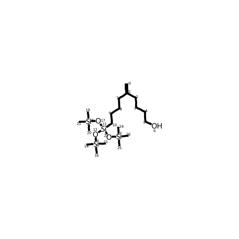 C=C(CCCCO)CCCC[Si](O[Si](C)(C)C)(O[Si](C)(C)C)O[Si](C)(C)C